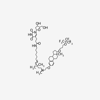 CN(CCOc1ccc2c(c1)CCC1C2CCC2(C)C(OCCCOC(C(F)(F)F)(C(F)(F)F)C(F)(F)F)CCC12)CCC(C)(C)SSCCCCCCNC(=O)CCc1cn(C2CC(O)C(CO)O2)c(=O)[nH]c1=O